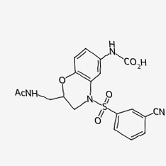 CC(=O)NCC1CN(S(=O)(=O)c2cccc(C#N)c2)c2cc(NC(=O)O)ccc2O1